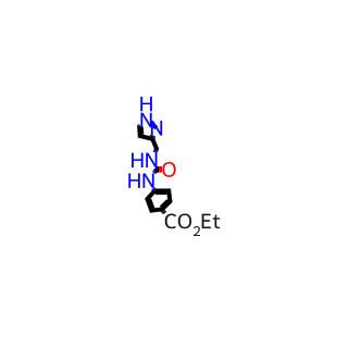 CCOC(=O)c1ccc(NC(=O)NCc2cc[nH]n2)cc1